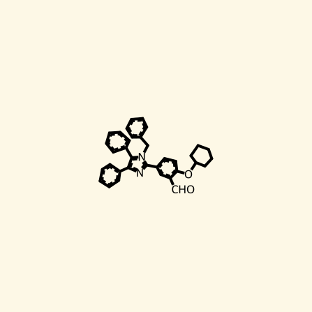 O=Cc1cc(-c2nc(-c3ccccc3)c(-c3ccccc3)n2Cc2ccccc2)ccc1OC1CCCCC1